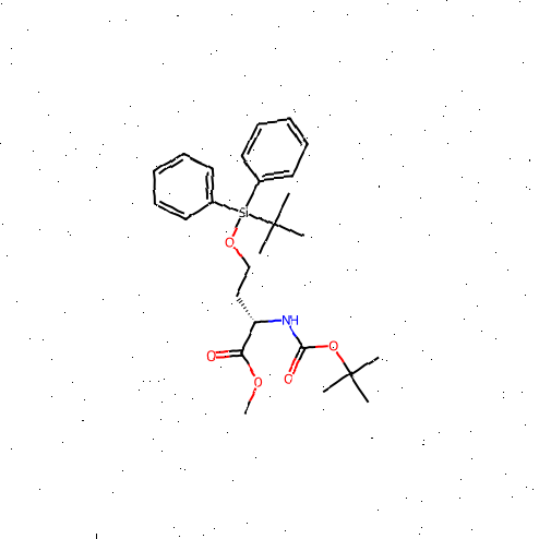 COC(=O)[C@H](CCO[Si](c1ccccc1)(c1ccccc1)C(C)(C)C)NC(=O)OC(C)(C)C